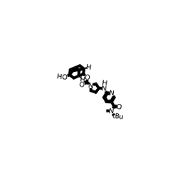 CN(C(=O)c1ccc(NC2CCN(C(=O)OC3[C@@H]4CC5C[C@H]3CC(O)(C5)C4)C2)nc1)C(C)(C)C